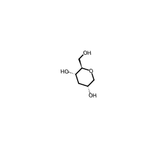 OC[C@H]1OC[C@H](O)C[C@@H]1O